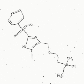 C[Si](C)(C)CCOCc1nc(S(=O)(=O)c2ccccc2)[nH]c1I